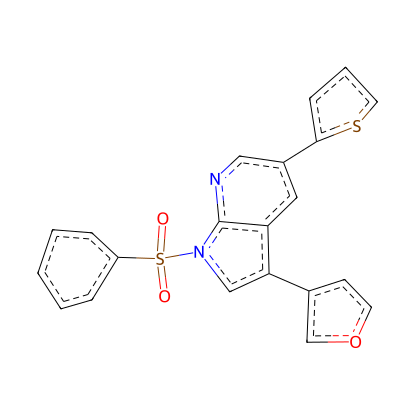 O=S(=O)(c1ccccc1)n1cc(-c2ccoc2)c2cc(-c3cccs3)cnc21